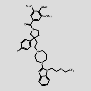 COc1cc(C(=O)N2CCC(CCN3CCCN(c4nc5ccccc5n4CCOCC(F)(F)F)CC3)(c3ccc(F)cc3)C2)cc(OC)c1OC